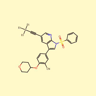 CC[Si](C#Cc1cnc2c(c1)c(-c1ccc(OC3CCOCC3)c(C#N)c1)cn2S(=O)(=O)c1ccccc1)(CC)CC